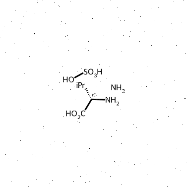 CC(C)[C@H](N)C(=O)O.N.O=S(=O)(O)O